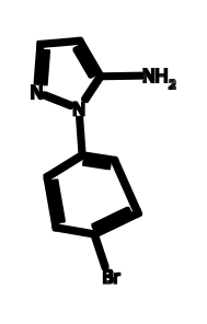 Nc1ccnn1-c1ccc(Br)cc1